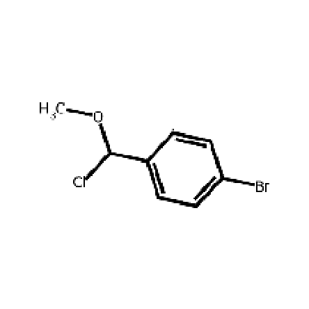 COC(Cl)c1[c]cc(Br)cc1